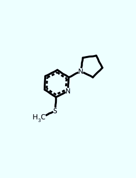 CSc1cccc(N2CCCC2)n1